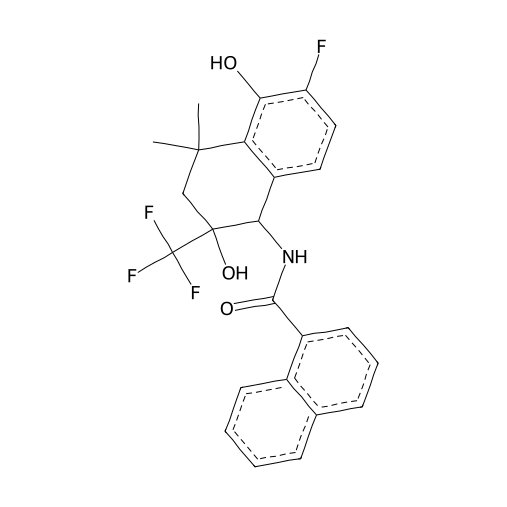 CC1(C)CC(O)(C(F)(F)F)C(NC(=O)c2cccc3ccccc23)c2ccc(F)c(O)c21